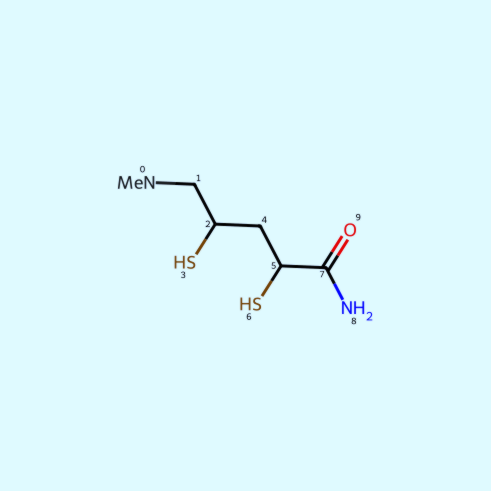 CNCC(S)CC(S)C(N)=O